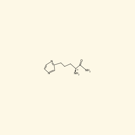 NC(=O)[C@@H](N)CCCc1cnccn1